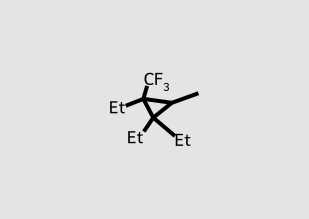 CCC1(CC)C(C)C1(CC)C(F)(F)F